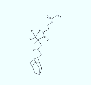 C=C(C)C(=O)OCCOC(=O)C(C)(OC(=O)CC1C2CC3CC(C2)CC1C3)C(F)(F)F